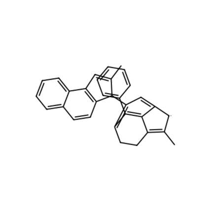 CC1=Cc2c(ccc3ccccc23)C1c1cc2c3c(-c4ccccc4)c1CCC3=C(C)[CH]2